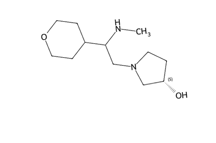 CNC(CN1CC[C@H](O)C1)C1CCOCC1